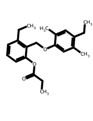 CCC(=O)Oc1cccc(CC)c1COc1cc(C)c(CC)cc1C